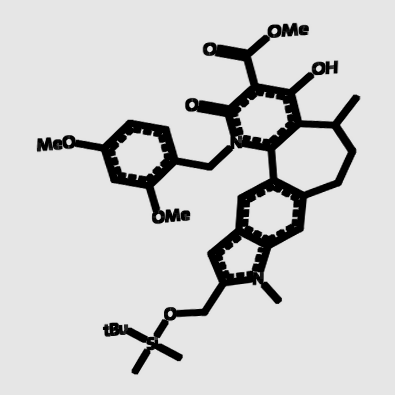 COC(=O)c1c(O)c2c(n(Cc3ccc(OC)cc3OC)c1=O)-c1cc3cc(CO[Si](C)(C)C(C)(C)C)n(C)c3cc1CCC2C